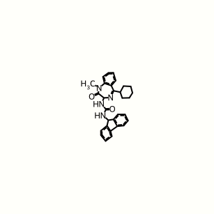 CN1C(=O)C(NC(=O)NC2c3ccccc3-c3ccccc32)N=C(C2CCCCC2)c2ccccc21